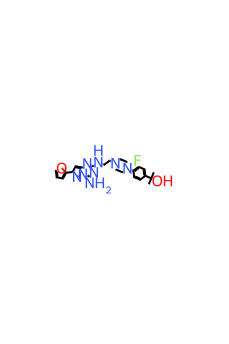 CC(C)(O)c1ccc(N2CCN(CCNc3nc(N)n4nc(-c5ccco5)cc4n3)CC2)c(F)c1